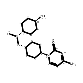 CCN(C[C@H]1CC[C@H](n2ccc(N)nc2=O)CC1)[C@H]1CC[C@H](N)CC1